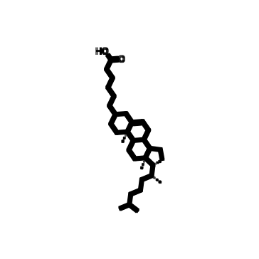 CC(C)CCC[C@@H](C)[C@H]1CCC2C3CC=C4CC(CCCCCC(=O)O)CC[C@]4(C)C3CC[C@@]21C